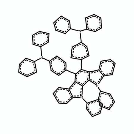 c1ccc(N(c2ccccc2)c2ccc(-c3c(-c4ccc(N(c5ccccc5)c5ccccc5)cc4)c4c5ccccc5n(-c5ccccc5)c4c4c3c3ccccc3n4-c3ccccc3)cc2)cc1